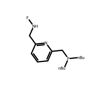 CCCCP(CCCC)Cc1cccc(CNF)n1